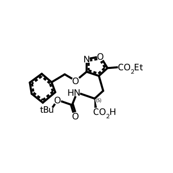 CCOC(=O)c1onc(OCc2ccccc2)c1C[C@H](NC(=O)OC(C)(C)C)C(=O)O